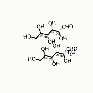 O.O=C[C@H](O)[C@@H](O)[C@H](O)[C@H](O)CO.O=C[C@H](O)[C@@H](O)[C@H](O)[C@H](O)CO